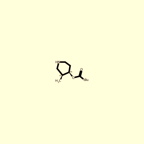 C[C@H]1CNCC[C@H]1OC(=O)C(C)(C)C